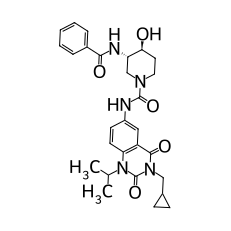 CC(C)n1c(=O)n(CC2CC2)c(=O)c2cc(NC(=O)N3CC[C@H](O)[C@@H](NC(=O)c4ccccc4)C3)ccc21